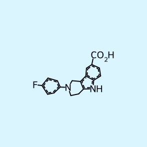 O=C(O)c1ccc2[nH]c3c(c2c1)CN(c1ccc(F)cc1)CC3